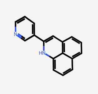 C1=C(c2cccnc2)Nc2cccc3cccc1c23